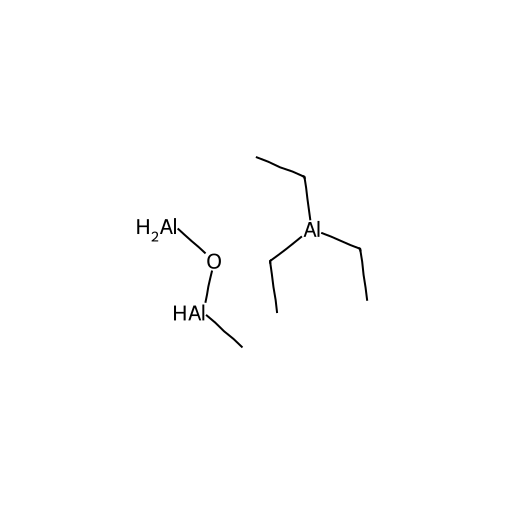 C[CH2][Al]([CH2]C)[CH2]C.[CH3][AlH][O][AlH2]